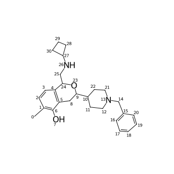 Cc1ccc2c(c1O)CC(C1CCN(Cc3ccccc3)CC1)OC2CNC1CCC1